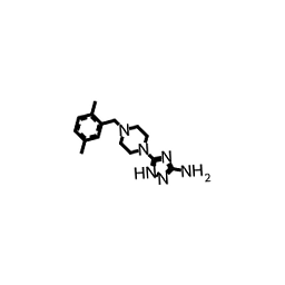 Cc1ccc(C)c(CN2CCN(c3nc(N)n[nH]3)CC2)c1